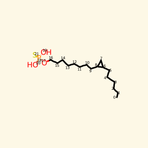 CCCCCCC1CC1CCCCCCCCOP(O)(O)=S